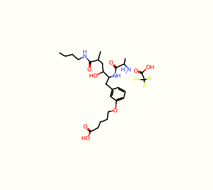 CCCCNC(=O)C(C)CC(O)C(Cc1cccc(OCCCCC(=O)O)c1)NC(=O)C(C)N.O=C(O)C(F)(F)F